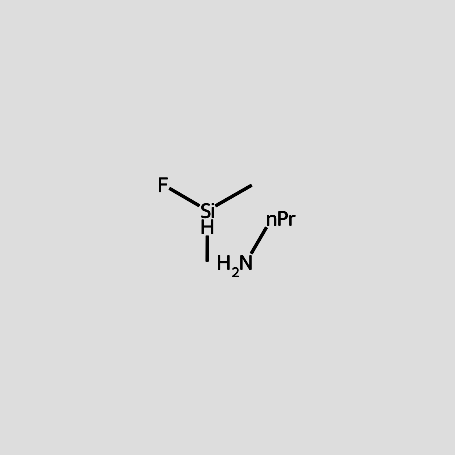 CCCN.C[SiH](C)F